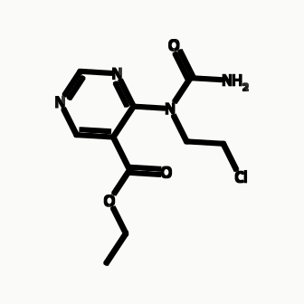 CCOC(=O)c1cncnc1N(CCCl)C(N)=O